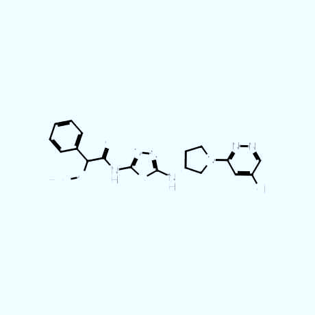 COC(C(=O)Nc1nnc(N[C@@H]2CCN(c3cc(Cl)cnn3)C2)s1)c1ccccc1